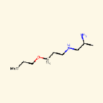 COCCO[SiH2]CCNCC(C)N